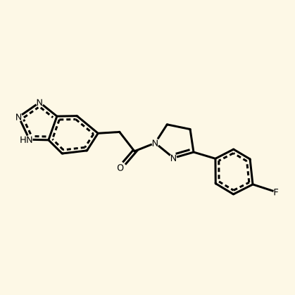 O=C(Cc1ccc2[nH]nnc2c1)N1CCC(c2ccc(F)cc2)=N1